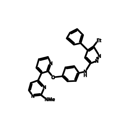 CCc1nnc(Nc2ccc(Oc3ncccc3-c3ccnc(NC)n3)cc2)cc1-c1ccccc1